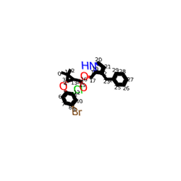 CC1(C)C(Oc2ccc(Br)cc2Cl)C1C(=O)OCc1[nH]ccc1Cc1ccccc1